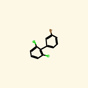 Clc1cccc(Cl)c1-c1cc[c]c(Br)c1